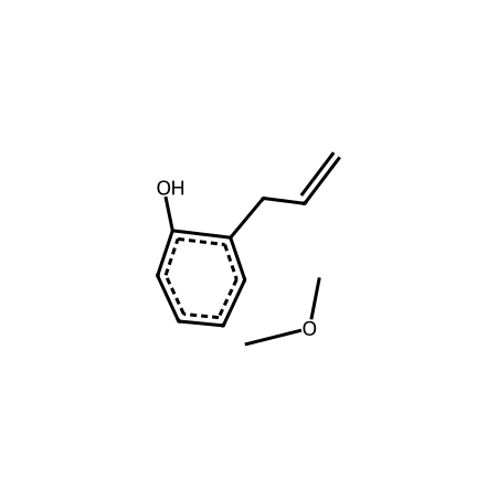 C=CCc1ccccc1O.COC